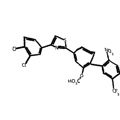 O=C(O)Oc1cc(-c2nc(-c3ccc(Cl)c(Cl)c3)cs2)ccc1-c1cc(C(F)(F)F)ccc1[N+](=O)[O-]